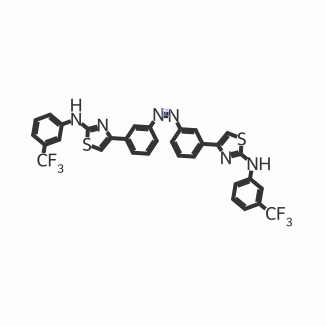 FC(F)(F)c1cccc(Nc2nc(-c3cccc(/N=N\c4cccc(-c5csc(Nc6cccc(C(F)(F)F)c6)n5)c4)c3)cs2)c1